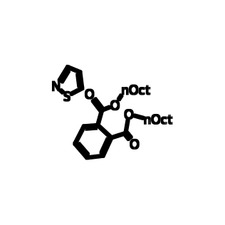 CCCCCCCCOC(=O)c1ccccc1C(=O)OCCCCCCCC.c1cnsc1